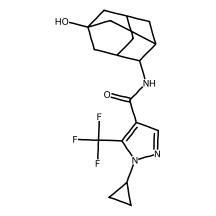 O=C(NC1C2CC3CC1CC(O)(C3)C2)c1cnn(C2CC2)c1C(F)(F)F